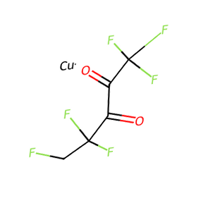 O=C(C(=O)C(F)(F)CF)C(F)(F)F.[Cu]